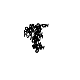 Nc1nc2c(ncn2[C@@H]2O[C@H](CO)[C@@H](F)[C@H]2OP(=O)(S)OC2[C@H]3O[C@@H](n4ccc5c(=O)[nH]cnc54)[C@@H](F)[C@@]23O)c(=O)[nH]1